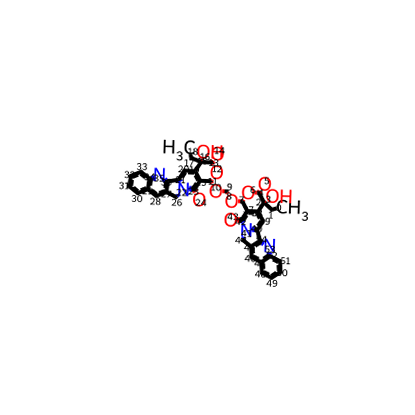 CC[C@@]1(O)C(=O)OC(OCOC2OC(=O)[C@](O)(CC)c3cc4n(c(=O)c32)Cc2cc3ccccc3nc2-4)c2c1cc1n(c2=O)Cc2cc3ccccc3nc2-1